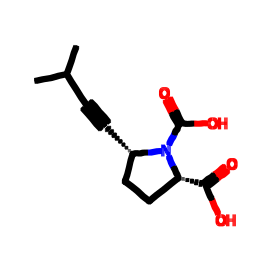 CC(C)C#C[C@H]1CC[C@@H](C(=O)O)N1C(=O)O